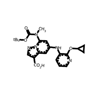 CN(C(=O)OC(C)(C)C)c1cc(Nc2cccnc2OC2CC2)cc2c(C(=O)O)cnn12